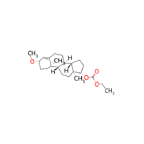 CCOC(=O)O[C@H]1CC[C@H]2[C@@H]3CCC4=C[C@@H](OC)CC[C@]4(C)[C@H]3CC[C@]12C